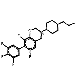 CCCC1CCC([C@@H]2COc3c(cc(F)c(-c4cc(F)c(F)c(F)c4)c3F)C2)CC1